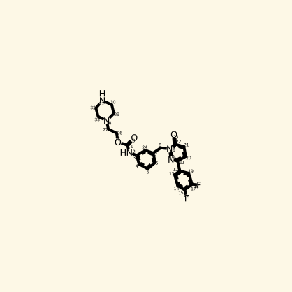 O=C(Nc1cccc(Cn2nc(-c3ccc(F)c(F)c3)ccc2=O)c1)OCCN1CCNCC1